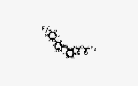 O=C(Oc1nc2c(Oc3cc(-c4ccc(C(F)(F)F)cc4)ncn3)cccc2s1)C(F)(F)F